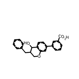 O=C(O)c1cccc(-c2ccc3c(c2)OCC(Cc2ccccc2)C3O)c1